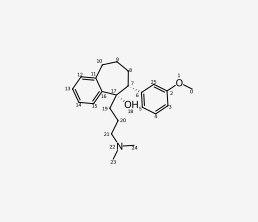 COc1cccc([C@H]2CCCc3ccccc3[C@]2(O)CCCN(C)C)c1